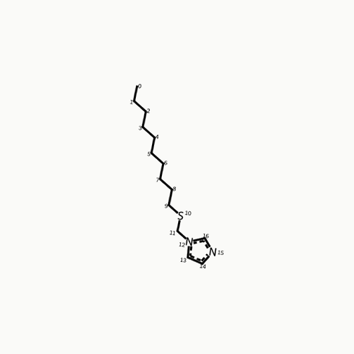 CCCCCCCCCCSCn1ccnc1